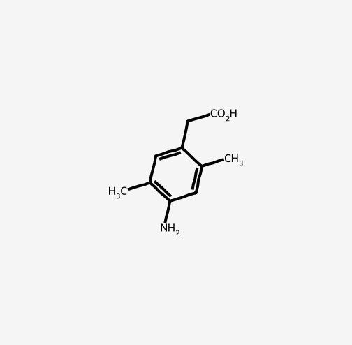 Cc1cc(CC(=O)O)c(C)cc1N